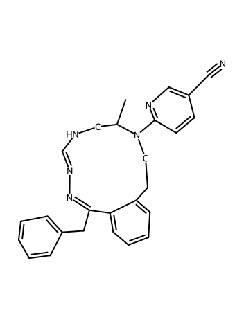 CC1CN/C=N/N=C(/Cc2ccccc2)c2ccccc2CCN1c1ccc(C#N)cn1